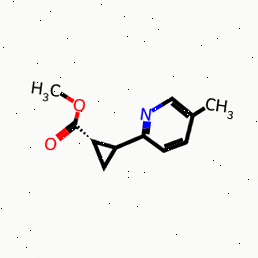 COC(=O)[C@H]1CC1c1ccc(C)cn1